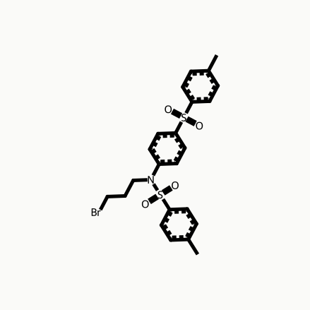 Cc1ccc(S(=O)(=O)c2ccc(N(CCCBr)S(=O)(=O)c3ccc(C)cc3)cc2)cc1